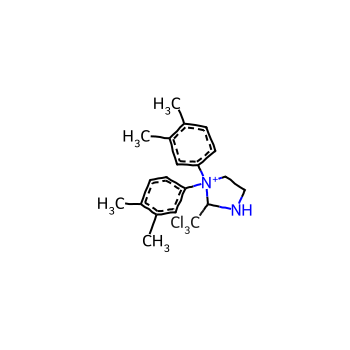 Cc1ccc([N+]2(c3ccc(C)c(C)c3)CCNC2C(Cl)(Cl)Cl)cc1C